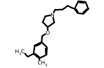 CCc1cc(COC2CCN(CCCc3ccccc3)C2)ccc1C